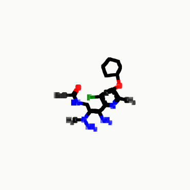 Cc1nc(/C(N)=C(\CNC(=O)OCC(C)C)N(C)N)c(F)cc1OC1CCCCC1